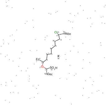 CCCCCCCCCCC(OC(CC)CCCCCCCC(Cl)CCCCCCCCC)S(=O)(=O)O.[K]